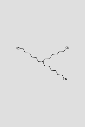 N#CCCCCCCN(CCCCCCC#N)CCCCCCC#N